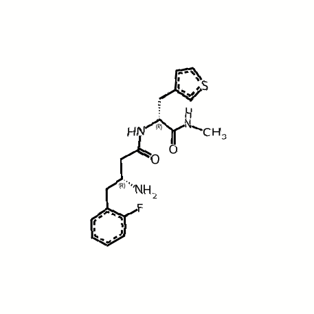 CNC(=O)[C@@H](Cc1ccsc1)NC(=O)C[C@H](N)Cc1ccccc1F